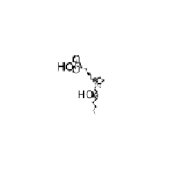 CCCCC[C@H](O)C=C[C@H]1CCC[C@@H]1CC=CCCCC1(C(=O)O)CO1